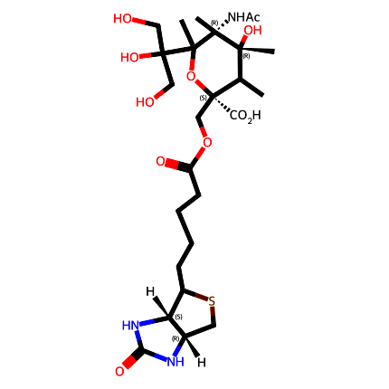 CC(=O)N[C@@]1(C)C(C)(C(O)(CO)CO)O[C@@](COC(=O)CCCCC2SC[C@@H]3NC(=O)N[C@H]23)(C(=O)O)C(C)[C@@]1(C)O